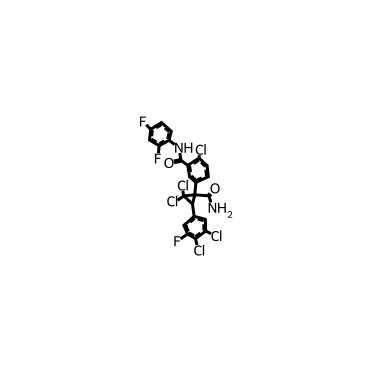 NC(=O)C1(c2ccc(Cl)c(C(=O)Nc3ccc(F)cc3F)c2)C(c2cc(F)c(Cl)c(Cl)c2)C1(Cl)Cl